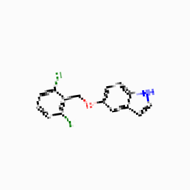 Clc1cccc(Cl)c1COc1ccc2[nH]ccc2c1